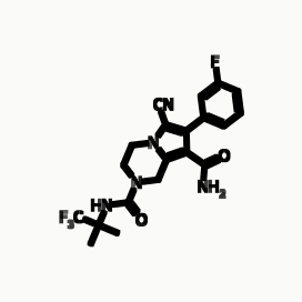 CC(C)(NC(=O)N1CCn2c(C#N)c(-c3cccc(F)c3)c(C(N)=O)c2C1)C(F)(F)F